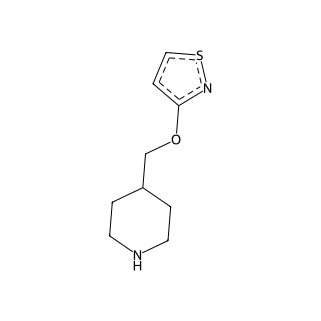 c1cc(OCC2CCNCC2)ns1